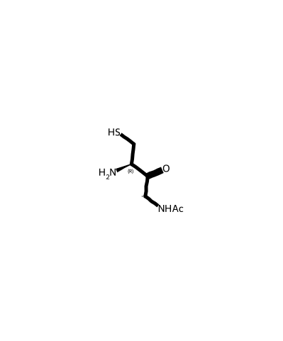 CC(=O)N[CH]C(=O)[C@@H](N)CS